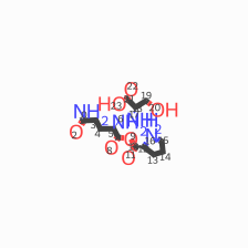 NC(=O)CC[C@H](N)C(=O)OC(=O)[C@@H]1CCCN1.N[C@@H](CO)C(=O)O